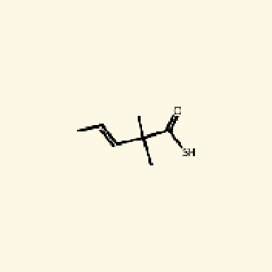 CC=CC(C)(C)C(=O)S